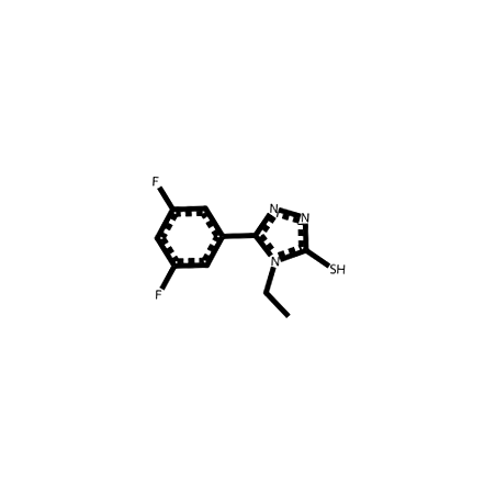 CCn1c(S)nnc1-c1cc(F)cc(F)c1